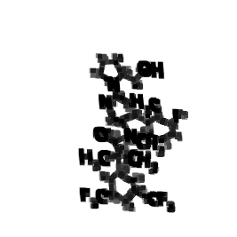 Cc1c(F)cccc1-c1cc(N2CCCC2CO)ncc1N(C)C(=O)C(C)(C)c1cc(C(F)(F)F)cc(C(F)(F)F)c1